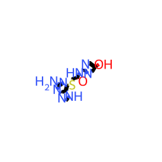 Nc1nc(SCC(=O)Nc2ncc(O)cn2)c2[nH]cnc2n1